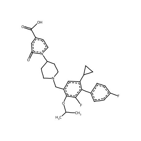 CC(C)Oc1c(CN2CCC(n3ccc(C(=O)O)cc3=O)CC2)cc(C2CC2)c(-c2ccc(F)cc2)c1F